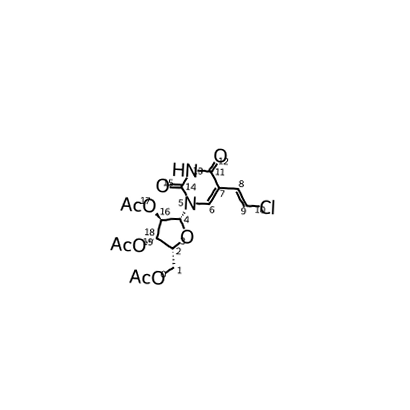 CC(=O)OC[C@H]1O[C@@H](n2cc(C=CCl)c(=O)[nH]c2=O)[C@H](OC(C)=O)[C@H]1OC(C)=O